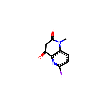 CN1C(=O)CC(=O)c2nc(I)ccc21